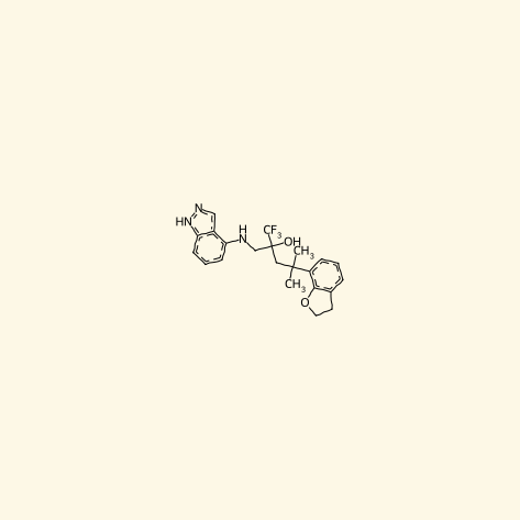 CC(C)(CC(O)(CNc1cccc2[nH]ncc12)C(F)(F)F)c1cccc2c1OCC2